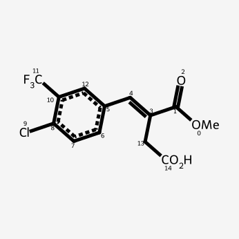 COC(=O)/C(=C/c1ccc(Cl)c(C(F)(F)F)c1)CC(=O)O